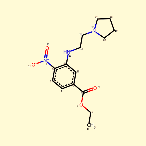 CCOC(=O)c1ccc([N+](=O)[O-])c(NCCN2CCCC2)c1